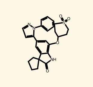 O=C1Nc2c(OC3CCS(=O)(=O)CC3)cc(-c3ccnn3-c3ccccc3)cc2C12CCCC2